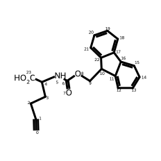 C#CCCC(NC(=O)OCC1c2ccccc2-c2ccccc21)C(=O)O